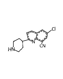 N#Cc1cc(Cl)cc2ccc(C3CCNCC3)nc12